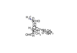 C=C(CCCN(C=O)C(=O)/C=C\C)N[C@@H](CCCCNC(=O)COC(C)(C)CCC)C(=O)NC(C)C(=O)NCC=O